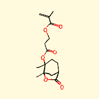 C=C(C)C(=O)OCCC(=O)OC1(C)CCC2CC1(C)OC2=O